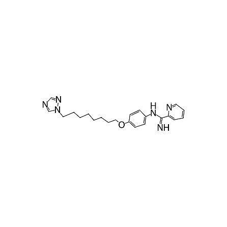 N=C(Nc1ccc(OCCCCCCCCn2cncn2)cc1)c1ccccn1